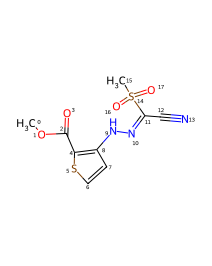 COC(=O)c1sccc1NN=C(C#N)S(C)(=O)=O